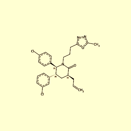 C=CC[C@H]1C[C@H](c2cccc(Cl)c2)[C@@H](c2ccc(Cl)cc2)N(CCCc2nnc(C)o2)C1=O